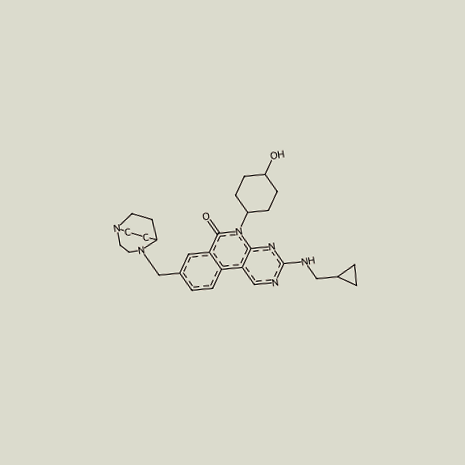 O=c1c2cc(CN3CCN4CCC3CC4)ccc2c2cnc(NCC3CC3)nc2n1C1CCC(O)CC1